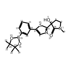 CN1CCC(O)(c2ncc(-c3cccc(B4OC(C)(C)C(C)(C)O4)c3)s2)C1=O